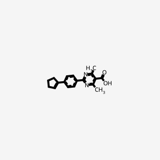 Cc1nc(-c2ccc(C3=CCCC3)cc2)nc(C)c1C(=O)O